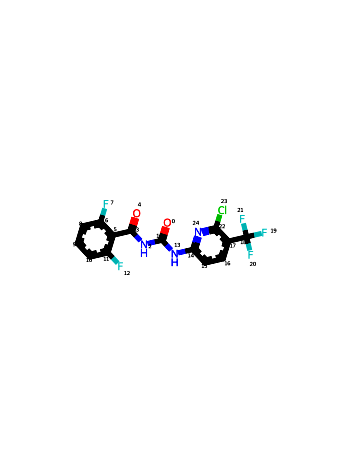 O=C(NC(=O)c1c(F)cccc1F)Nc1ccc(C(F)(F)F)c(Cl)n1